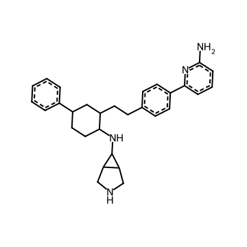 Nc1cccc(-c2ccc(CCC3CC(c4ccccc4)CCC3NC3C4CNCC43)cc2)n1